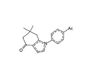 CC(=O)c1ccc(-n2ccc3c2CC(C)(C)CC3=O)cc1